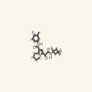 Cc1cc(NC(=O)c2cc(C(=O)C(=O)NC3(C)CC(F)(F)C3)n3c2CCCC3)ccc1F